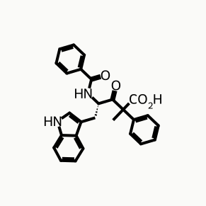 CC(C(=O)O)(C(=O)[C@H](Cc1c[nH]c2ccccc12)NC(=O)c1ccccc1)c1ccccc1